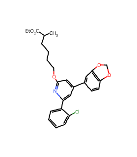 CCOC(=O)C(C)CCCCOc1cc(-c2ccc3c(c2)OCO3)cc(-c2ccccc2Cl)n1